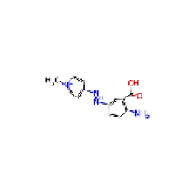 C[n+]1ccc(/N=N/c2ccc(N)c(C(=O)O)c2)cc1